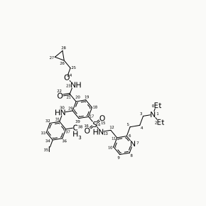 CCN(CC)CCCc1ncccc1CNS(=O)(=O)c1ccc(C(=O)NOCC2CC2)c(Nc2ccc(I)cc2C)c1